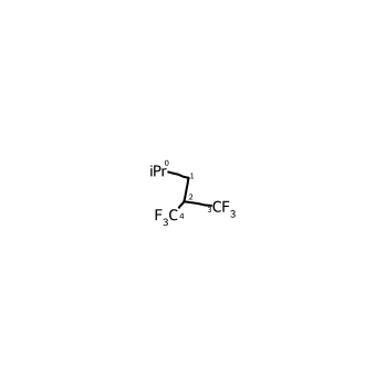 CC(C)CC(C(F)(F)F)C(F)(F)F